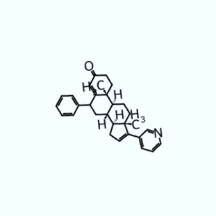 C[C@]12CCC(=O)C=C1C(c1ccccc1)C[C@@H]1[C@@H]2CC[C@]2(C)C(c3cccnc3)=CC[C@@H]12